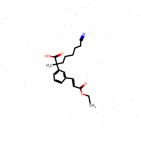 CCOC(=O)/C=C/c1cccc(C(C)(CCCCCC#N)C(=O)O)c1